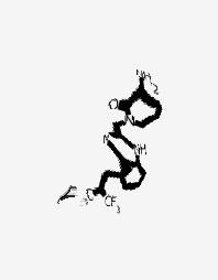 Nc1cccn(Cc2nc3c(CC(C(F)(F)F)C(F)(F)F)cccc3[nH]2)c1=O